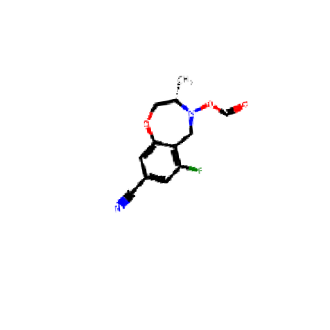 C[C@H]1COc2cc(C#N)cc(F)c2CN1OC=O